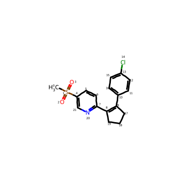 CS(=O)(=O)c1ccc(C2=C(c3ccc(Cl)cc3)CCC2)nc1